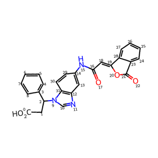 O=C(O)CC(c1ccccc1)n1cnc2cc(NC(=O)C=C3OC(=O)c4ccccc43)ccc21